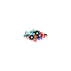 CCOC(=O)C[C@@H](NS(=O)(=O)c1ccc(OC(F)(F)F)cc1)c1cccc(C(F)(F)F)c1